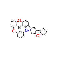 c1cc2c3c(c1)Oc1ccc4c5cc6c(cc5n5c4c1B3c1c(cccc1-5)O2)oc1ccccc16